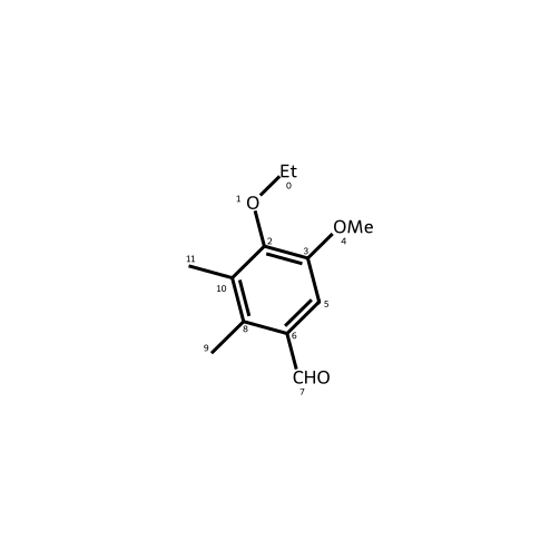 CCOc1c(OC)cc(C=O)c(C)c1C